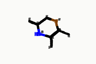 CC1CSC(C)C(C)N1